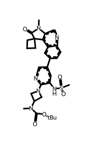 CN1C(=O)C2(CCC2)c2c1cnc1ccc(-c3cnc(N4CC(N(C)C(=O)OC(C)(C)C)C4)c(NS(C)(=O)=O)c3)cc21